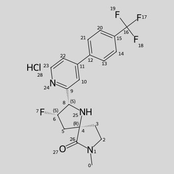 CN1CC[C@@]2(C[C@H](F)[C@H](c3cc(-c4ccc(C(F)(F)F)cc4)ccn3)N2)C1=O.Cl